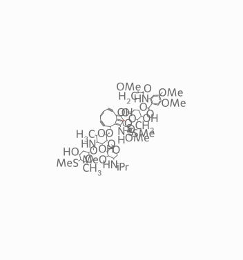 C=C(OC)C(=O)Nc1cc(OC)c(OC)cc1C(=O)O[C@H]1C[C@H](O[C@H]2C(=O)C(NC(=O)OC)=C3/C(=C\CSSSC)[C@]2(O)C#C/C=C\C#CC3O[C@@H]2OC(C)[C@@H](NO[C@H]3C[C@H](O)[C@H](SC)[C@@H](C)O3)[C@@H](O)[C@H]2O[C@H]2C[C@H](OC)[C@@H](NC(C)C)CO2)O[C@@H](C)[C@@H]1O